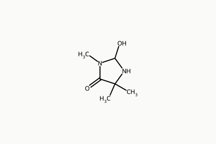 CN1C(=O)C(C)(C)NC1O